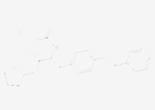 CC(C)(C)OC(=O)NC(Cc1ccc(OCc2ccccc2)cc1)C(=O)OC1CCCC1